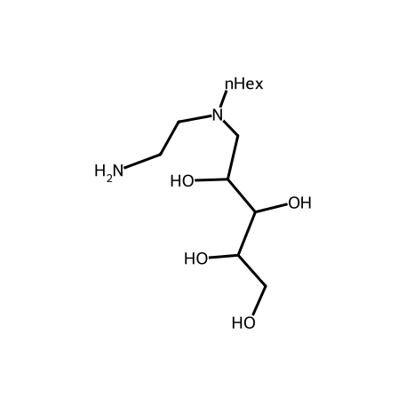 CCCCCCN(CCN)CC(O)C(O)C(O)CO